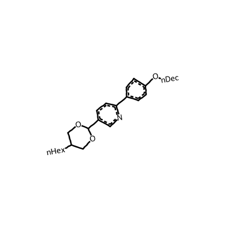 CCCCCCCCCCOc1ccc(-c2ccc(C3OCC(CCCCCC)CO3)cn2)cc1